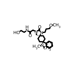 COCCCN1C(=O)N(CC(=O)NCCO)C[C@]12CC[C@](c1ccccc1)(N(C)C)CC2